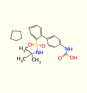 C1CCCC1.CC(C)(C)NS(=O)(=O)c1ccccc1-c1ccc(NC(=O)O)cc1